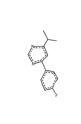 CC(C)c1cc(-c2ccc(F)cc2)ncn1